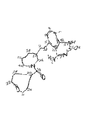 NC1=N[S+]([O-])Nc2cccc(OCC3CCCN(C(=O)C4CCOCC4)C3)c21